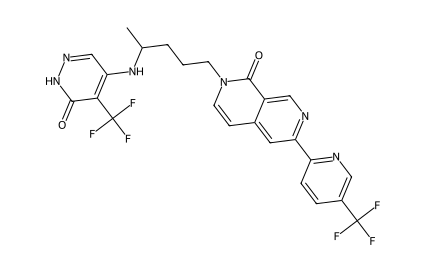 CC(CCCn1ccc2cc(-c3ccc(C(F)(F)F)cn3)ncc2c1=O)Nc1cn[nH]c(=O)c1C(F)(F)F